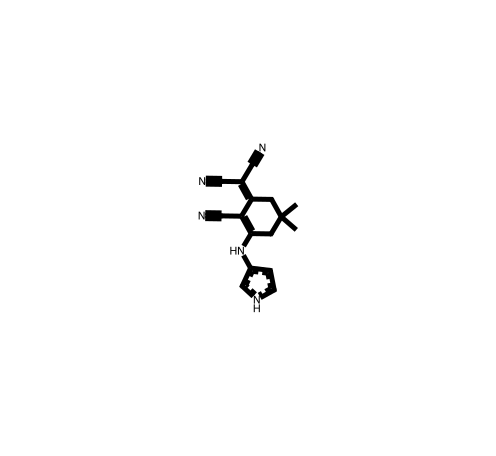 CC1(C)CC(Nc2cc[nH]c2)=C(C#N)C(=C(C#N)C#N)C1